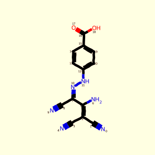 N#CC(C#N)=C(N)/C(C#N)=N\Nc1ccc(C(=O)O)cc1